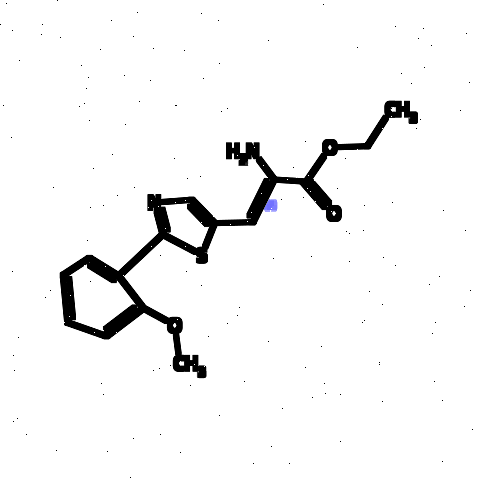 CCOC(=O)/C(N)=C/c1cnc(-c2ccccc2OC)s1